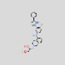 OC[C@@H](O)CN1CCc2c(cccc2Nc2ccc(Cl)c(-c3ncc(-c4ccccc4)[nH]3)c2)C1